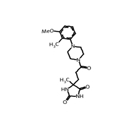 COc1cccc(N2CCN(C(=O)CCC3(C)NC(=O)NC3=O)CC2)c1C